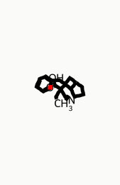 CCC(C#N)(C(=O)O)C1(Cc2ccccc2)CC2CCCC21